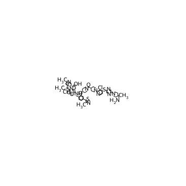 Cc1cc([C@H](C(=O)N2C[C@H](O)C[C@H]2C(=O)NCc2ccc(-c3scnc3C)cc2OC2CCN(C(=O)C3CCN(c4nccc(Sc5cnc(N6CCC(C)(CN)CC6)cn5)c4Cl)CC3)CC2)C(C)C)on1